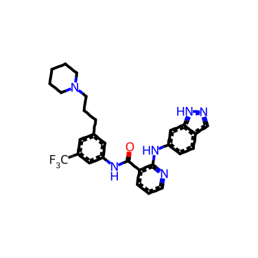 O=C(Nc1cc(CCCN2CCCCC2)cc(C(F)(F)F)c1)c1cccnc1Nc1ccc2cn[nH]c2c1